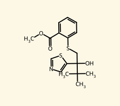 COC(=O)c1ccccc1SCC(O)(c1cncs1)C(C)(C)C